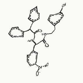 O=C(NCc1ccc(O)cc1)C(NC(=O)C(c1ccccc1)c1ccccc1)c1cccc([N+](=O)[O-])c1